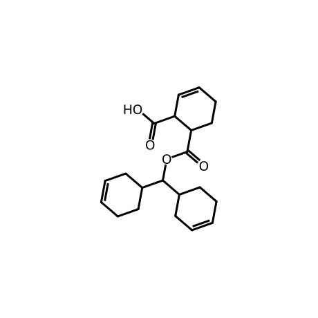 O=C(O)C1C=CCCC1C(=O)OC(C1CC=CCC1)C1CC=CCC1